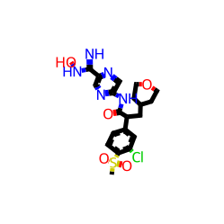 CS(=O)(=O)c1ccc(C(CC2CCOCC2)C(=O)Nc2cnc(C(=N)NO)cn2)cc1Cl